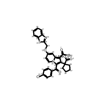 COC(=O)C1(c2c(C(=O)C(C)(C)C)c3cc(OCc4nc5ccccc5s4)ccn3c2C(=O)c2ccc(Cl)cc2)CCCC1